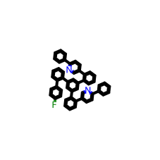 Fc1ccc(-c2ccccc2-c2cc(-c3ccccc3-c3ccc(-c4ccccc4)nc3)cc(-c3ccccc3-c3ccc(-c4ccccc4)nc3)c2)cc1